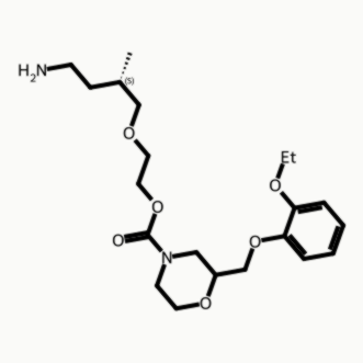 CCOc1ccccc1OCC1CN(C(=O)OCCOC[C@@H](C)CCN)CCO1